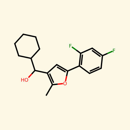 Cc1oc(-c2ccc(F)cc2F)cc1C(O)C1CCCCC1